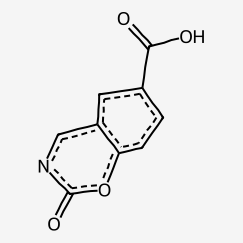 O=C(O)c1ccc2oc(=O)ncc2c1